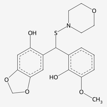 COc1cccc(C(SN2CCOCC2)c2cc3c(cc2O)OCO3)c1O